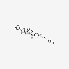 CCCCCOc1ccc(NC(=S)NC(=O)c2csc(-c3cccnc3)n2)cc1